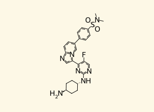 CN(C)S(=O)(=O)c1ccc(-c2ccc3ncc(-c4nc(N[C@H]5CC[C@H](N)CC5)ncc4F)n3c2)cc1